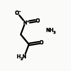 N.NC(=O)C[N+](=O)[O-]